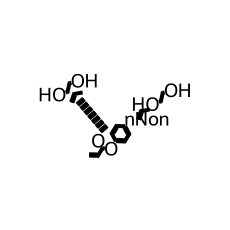 C=C.C=C.C=C.C=C.C=C.C=C.C=C.C=CC.C=CC.C=CC(=O)Oc1ccc(CCCCCCCCC)cc1.OCCO.OCCO